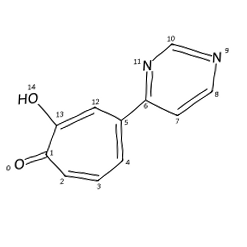 O=c1cccc(-c2ccncn2)cc1O